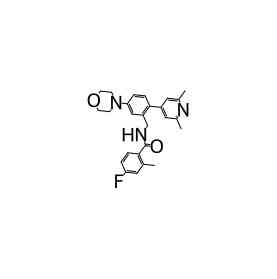 Cc1cc(-c2ccc(N3CCOCC3)cc2CNC(=O)c2ccc(F)cc2C)cc(C)n1